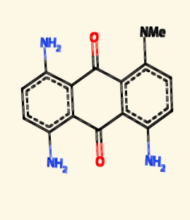 CNc1ccc(N)c2c1C(=O)c1c(N)ccc(N)c1C2=O